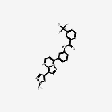 Cn1cc(-c2cnn3c(-c4cccc(NC(=O)c5cccc(C(F)(F)F)c5)c4)ccnc23)cn1